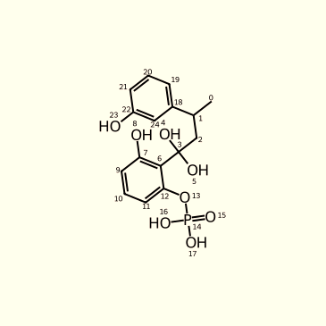 CC(CC(O)(O)c1c(O)cccc1OP(=O)(O)O)c1cccc(O)c1